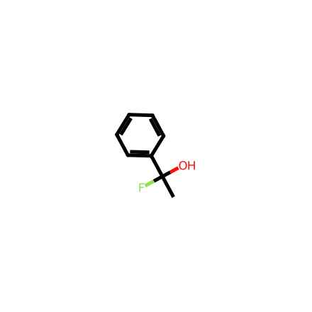 CC(O)(F)c1ccccc1